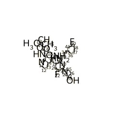 CC(C)(C)OC(=O)NCc1ncccc1C(C(N)=O)c1cc(F)c(N2CC[C@@H](O)C2)nc1NCCc1cccc(F)c1